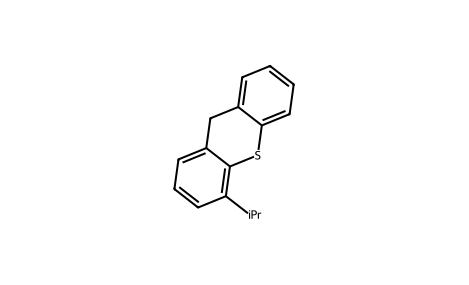 CC(C)c1cccc2c1Sc1ccccc1C2